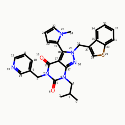 CC(C)Cn1c(=O)n(Cc2cccnc2)c(=O)c2c(-c3cccn3C)n(Cc3csc4ccccc34)nc21